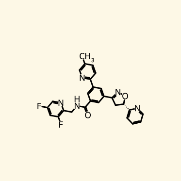 Cc1ccc(-c2cc(C(=O)NCc3ncc(F)cc3F)cc(C3=NO[C@H](c4ccccn4)C3)c2)nc1